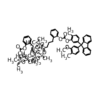 COc1cc(C2(c3ccc(C)c(OC(=O)Oc4ccccc4CCC[Si](C)(O[Si](C)(C)C)O[Si](C)(C)O[Si](C)(CCCc4ccccc4OC(C)=O)O[Si](C)(C)O[Si](C)(C)C)c3)c3ccccc3-c3ccccc32)ccc1C